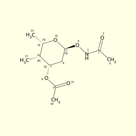 CC(=O)NO[C@H]1C[C@H](OC(C)=O)[C@H](C)[C@H](C)O1